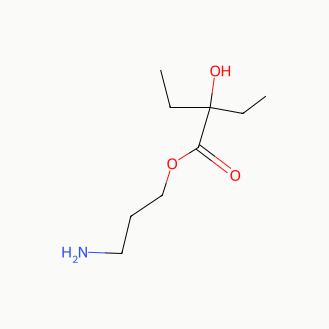 CCC(O)(CC)C(=O)OCCCN